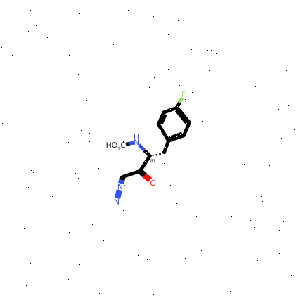 [N-]=[N+]=CC(=O)[C@@H](Cc1ccc(F)cc1)NC(=O)O